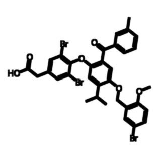 COc1ccc(Br)cc1COc1cc(C(=O)c2cccc(C)c2)c(Oc2c(Br)cc(CC(=O)O)cc2Br)cc1C(C)C